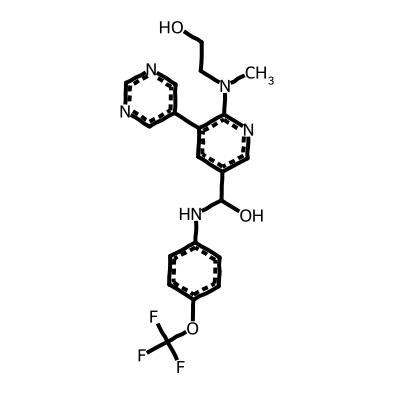 CN(CCO)c1ncc(C(O)Nc2ccc(OC(F)(F)F)cc2)cc1-c1cncnc1